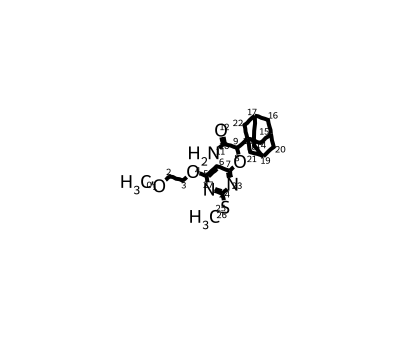 COCCOc1cc(OC(C(N)=O)C23CC4CC(CC(C4)C2)C3)nc(SC)n1